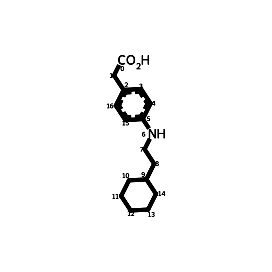 O=C(O)Cc1ccc(NCCC2CCCCC2)cc1